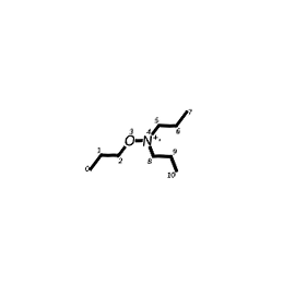 CCCO[N+](CCC)CCC